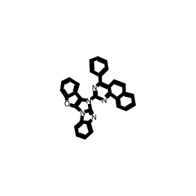 c1ccc(-c2nc(-n3c4c5ccccc5oc4n4c5ccccc5nc34)nc3c2ccc2ccccc23)cc1